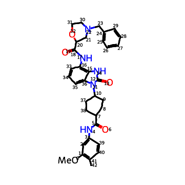 COc1cc(NC(=O)C2CCC(n3c(=O)[nH]c4c(NC(=O)C5CN(Cc6ccccc6)CCO5)cccc43)CC2)ccc1C